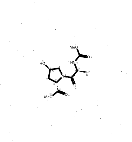 COC(=O)N[C@H](C(=O)N1C[C@H](O)C[C@H]1C(=O)OC)C(C)C